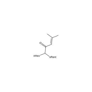 CCCCCCC(CCCCC)C(=O)C=C(C)C